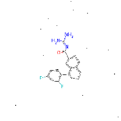 NC(N)=NC(=O)c1ccc2cccc(-c3ccc(F)cc3F)c2c1